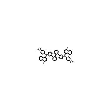 COc1ccc(N(c2cccc(-c3ccccc3-c3ccccc3-c3cccc(N(c4ccc(OC)cc4)c4ccc(C)c5ccccc45)c3)c2)c2ccc(C)c3ccccc23)cc1